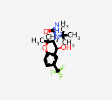 CC1(C)Oc2ccc(C(F)(F)F)cc2[C@H](O)[C@H]1N(C(N)=O)C(C)(C)C